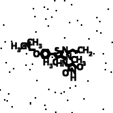 C=CCc1nc(NC2=C(C)C(=O)NC2=O)c2c(C)c(-c3ccc(OCCN(C)C)cc3)sc2n1